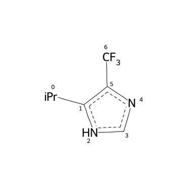 CC(C)c1[nH]cnc1C(F)(F)F